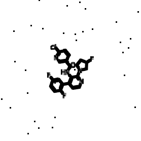 O=C(Nc1c(-c2cc(F)ccc2F)ccnc1N1CCC(F)C1)c1ccc(Cl)nc1